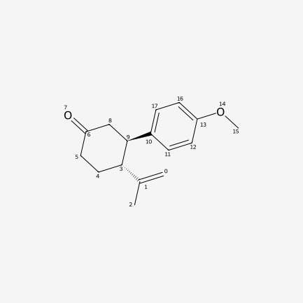 C=C(C)[C@@H]1CCC(=O)C[C@H]1c1ccc(OC)cc1